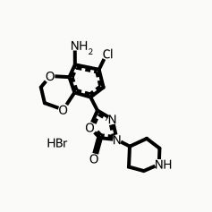 Br.Nc1c(Cl)cc(-c2nn(C3CCNCC3)c(=O)o2)c2c1OCCO2